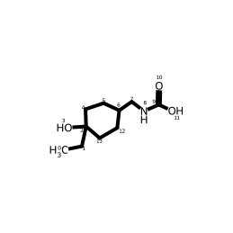 CCC1(O)CCC(CNC(=O)O)CC1